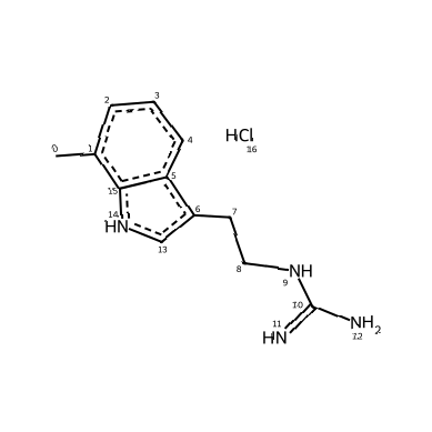 Cc1cccc2c(CCNC(=N)N)c[nH]c12.Cl